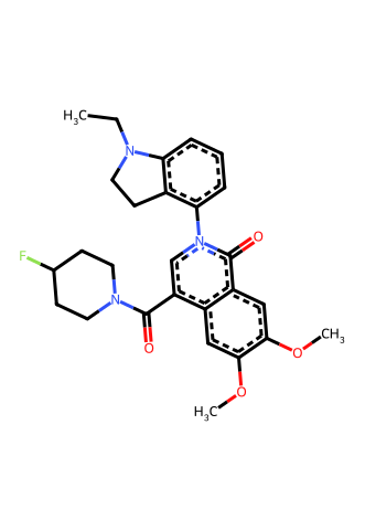 CCN1CCc2c1cccc2-n1cc(C(=O)N2CCC(F)CC2)c2cc(OC)c(OC)cc2c1=O